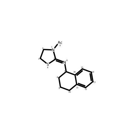 CC(=O)N1CCS/C1=N\C1CCCc2ccccc21